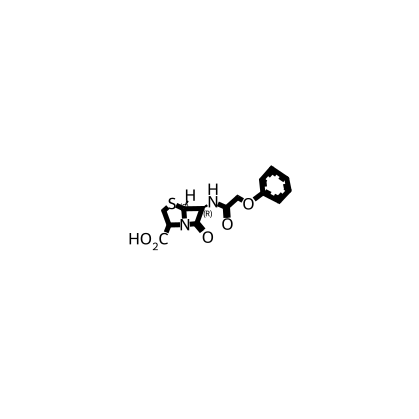 O=C(COc1ccccc1)N[C@@H]1C(=O)N2C(C(=O)O)CS[C@@H]12